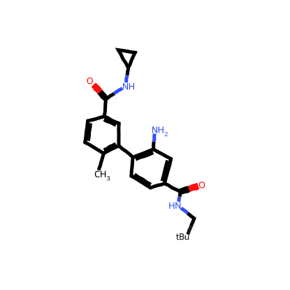 Cc1ccc(C(=O)NC2CC2)cc1-c1ccc(C(=O)NCC(C)(C)C)cc1N